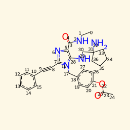 CCNC(=O)c1nc(C#Cc2ccccc2)n(Cc2ccc(OC(C)=O)cc2)c1NCC1(N)CCCC1